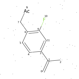 C=C(C)c1ccc(CC(C)=O)c(F)c1